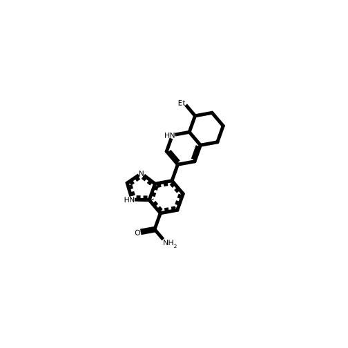 CCC1CCCC2=CC(c3ccc(C(N)=O)c4[nH]cnc34)=CNC21